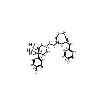 CC1(C)CN(CCN2CCCOC(Cc3ccc(F)cc3)C2)CCC1(O)c1ccc(Cl)cc1